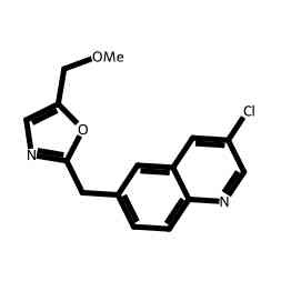 COCc1cnc(Cc2ccc3ncc(Cl)cc3c2)o1